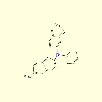 C=Cc1ccc2cc(N(c3ccccc3)c3ccc4ccccc4c3)ccc2c1